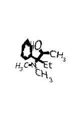 CCC(c1ccccc1)(C(C)O)N(C)C